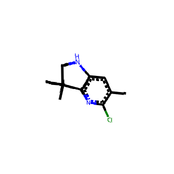 Cc1cc2c(nc1Cl)C(C)(C)CN2